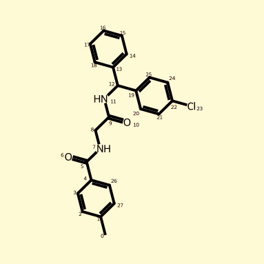 Cc1ccc(C(=O)NCC(=O)NC(c2ccccc2)c2ccc(Cl)cc2)cc1